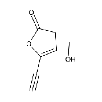 C#CC1=CCC(=O)O1.CO